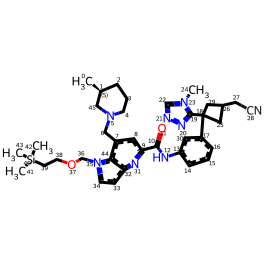 C[C@H]1CCCN(Cc2cc(C(=O)Nc3cccc(C4(c5nncn5C)CC(CC#N)C4)c3)nc3ccn(COCC[Si](C)(C)C)c23)C1